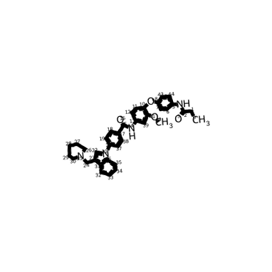 CCC(=O)Nc1ccc(Oc2ccc(NC(=O)c3ccc(-n4cc(CN5CCCCC5)c5ccccc54)cc3)cc2OC)cc1